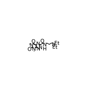 CCN(CC)CCCNC(=O)c1nnc2c(n1)c(=O)n(C)c(=O)n2C